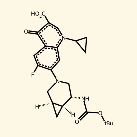 CC(C)(C)OC(=O)N[C@H]1CN(c2cc3c(cc2F)c(=O)c(C(=O)O)cn3C2CC2)C[C@@H]2C[C@@H]21